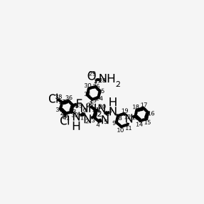 N/C(=N\c1cnc(N[C@@H]2CCCN(c3ccccc3)C2)nc1C[C@H]1CC[C@@H](C(N)=O)CC1)Nc1c(F)cc(Cl)cc1Cl